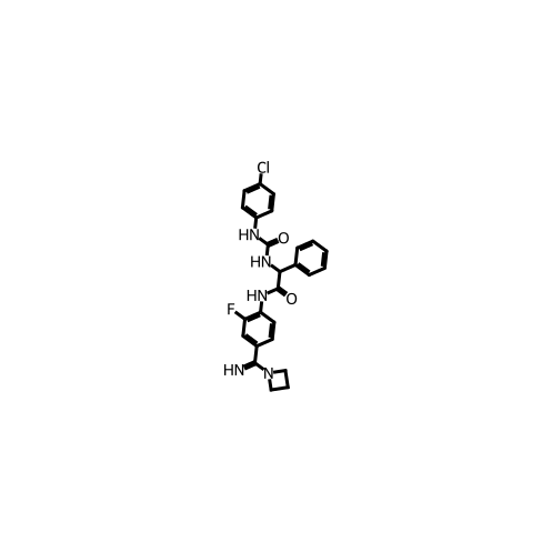 N=C(c1ccc(NC(=O)C(NC(=O)Nc2ccc(Cl)cc2)c2ccccc2)c(F)c1)N1CCC1